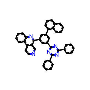 c1ccc(-c2nc(-c3ccccc3)nc(-c3cc(-c4cccc5ccccc45)cc(-c4nc5ccccc5c5ccncc45)c3)n2)cc1